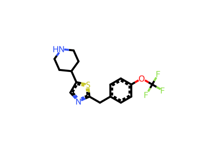 FC(F)(F)Oc1ccc(Cc2ncc(C3CCNCC3)s2)cc1